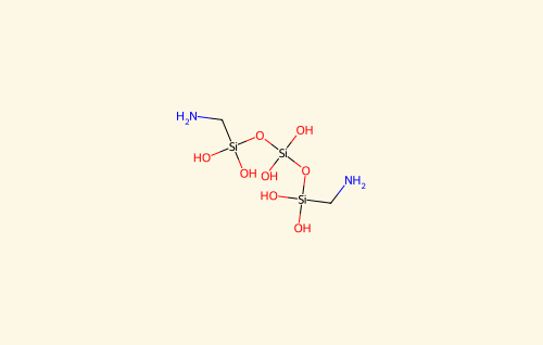 NC[Si](O)(O)O[Si](O)(O)O[Si](O)(O)CN